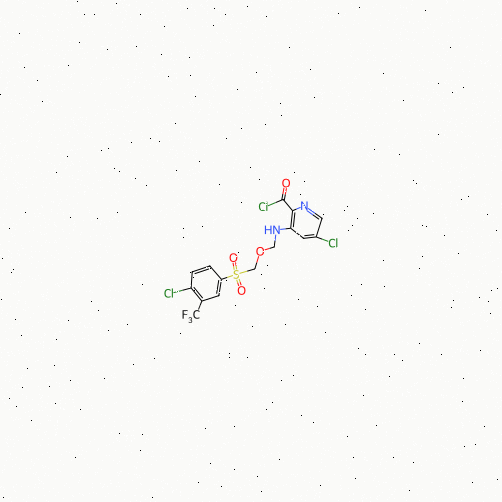 O=C(Cl)c1ncc(Cl)cc1NCOCS(=O)(=O)c1ccc(Cl)c(C(F)(F)F)c1